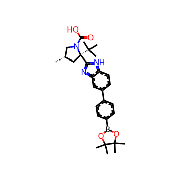 C[C@@H]1CN(C(=O)O)[C@](c2nc3cc(-c4ccc(B5OC(C)(C)C(C)(C)O5)cc4)ccc3[nH]2)(C(C)(C)C)C1